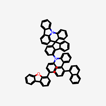 c1ccc(-c2cccc3ccccc23)c(-c2ccccc2N(c2ccc(-c3cccc4c3oc3ccccc34)cc2)c2cccc3c2-c2ccccc2C32c3ccccc3-n3c4ccccc4c4cccc2c43)c1